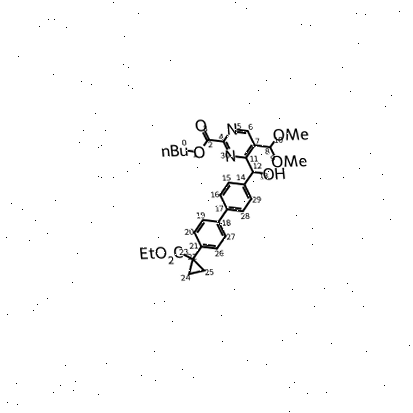 CCCCOC(=O)c1ncc(C(OC)OC)c(C(O)c2ccc(-c3ccc(C4(C(=O)OCC)CC4)cc3)cc2)n1